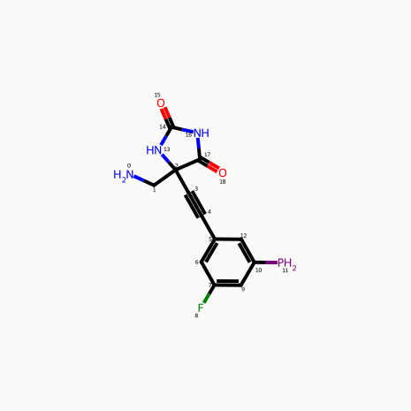 NCC1(C#Cc2cc(F)cc(P)c2)NC(=O)NC1=O